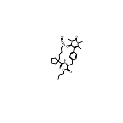 CCCOC(=O)[C@H](Cc1ccc(-c2c(C)n(C)c(=O)n(C)c2=O)cc1)NC(=O)C1(CCCCN=[N+]=[N-])CCCC1